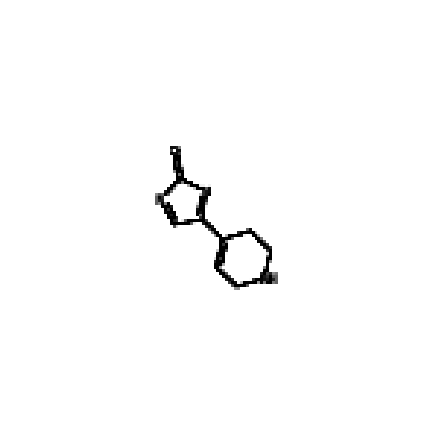 O=C1N=CC(C2=CCNCC2)=N1